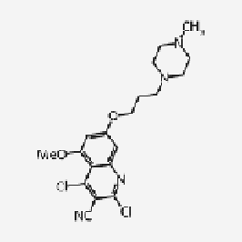 COc1cc(OCCCN2CCN(C)CC2)cc2nc(Cl)c(C#N)c(Cl)c12